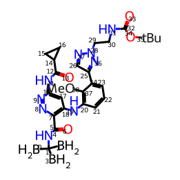 BC(B)(B)NC(=O)c1nnc(NC(=O)C2CC2)cc1Nc1cccc(-c2cnn(CCNC(=O)OC(C)(C)C)n2)c1OC